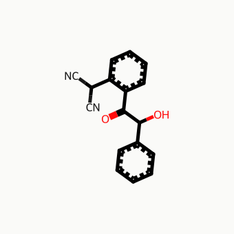 N#CC(C#N)c1ccccc1C(=O)C(O)c1ccccc1